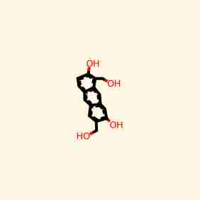 OCc1cc2cc3ccc(O)c(CO)c3cc2cc1O